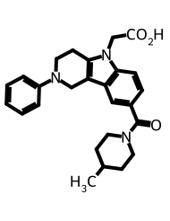 CC1CCN(C(=O)c2ccc3c(c2)c2c(n3CC(=O)O)CCN(c3ccccc3)C2)CC1